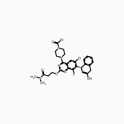 CCC(=O)N1CCN(c2nc(OCCC(=O)N(C)C)nc3c(F)c([C@@H]4C=C(O)Cc5ccccc54)c(Cl)cc23)CC1